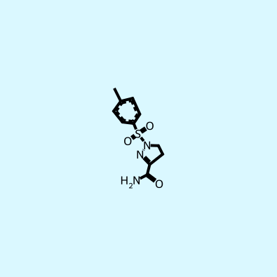 Cc1ccc(S(=O)(=O)N2CCC(C(N)=O)=N2)cc1